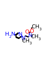 CCOC(=O)N(C)CCN(C)c1ccc(N)cn1